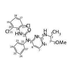 COCC(C)Nc1nccc(N(C(=O)Nc2c(Cl)cccc2Cl)c2ccccc2)n1